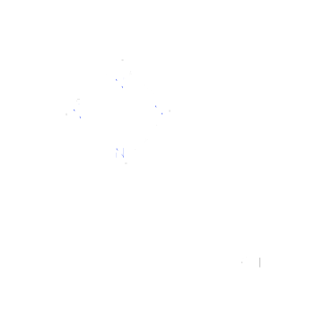 CCCCCCCCCCCCC1=CC2=CC3=NC(=CC4=NC(=CC5=NC(=CC1=N2)C=C5)C=C4)C=C3